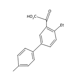 CCc1ccc(-c2ccc(C)cc2)cc1C(=O)C(=O)O